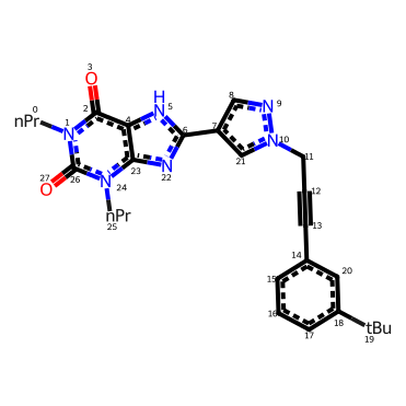 CCCn1c(=O)c2[nH]c(-c3cnn(CC#Cc4cccc(C(C)(C)C)c4)c3)nc2n(CCC)c1=O